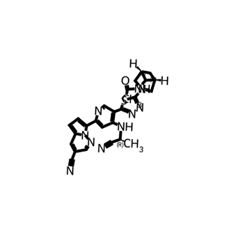 CC(=O)NC1[C@@H]2C[C@H]1CN(c1nnc(-c3cnc(-c4ccc5cc(C#N)cnn45)cc3N[C@H](C)C#N)s1)C2